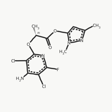 Cc1cc(OC(=O)[C@@H](C)Oc2nc(F)c(Cl)c(N)c2Cl)n(C)n1